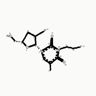 Cc1cn([C@@H]2O[C@H](CO)CC2F)c(=O)n(CCF)c1=O